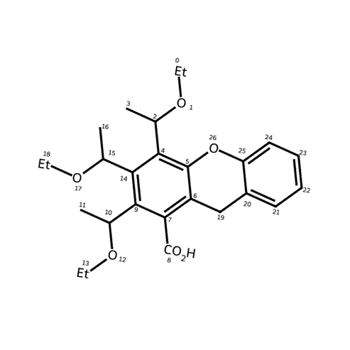 CCOC(C)c1c2c(c(C(=O)O)c(C(C)OCC)c1C(C)OCC)Cc1ccccc1O2